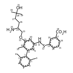 Cc1cccc(C)c1-c1nc(NSc2cccc(C(=O)O)c2)nc(OCC(N)CCC(C)(C)O)c1C